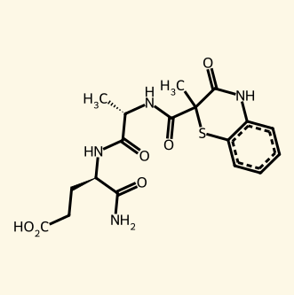 C[C@H](NC(=O)C1(C)Sc2ccccc2NC1=O)C(=O)N[C@H](CCC(=O)O)C(N)=O